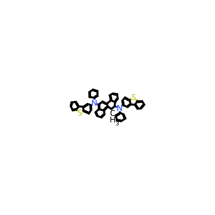 CC1c2c(cc(N(c3ccccc3)c3ccc4sc5ccccc5c4c3)c3ccccc23)-c2ccccc2C1N(c1ccccc1)c1ccc2sc3ccccc3c2c1